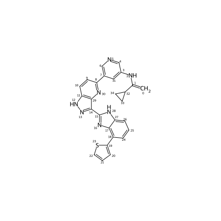 C=C(Nc1cncc(-c2ccc3[nH]nc(-c4nc5c(-c6cccs6)cccc5[nH]4)c3n2)c1)C1CC1